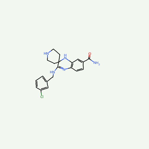 NC(=O)c1ccc2c(c1)NC1(CCNCC1)C(NCc1cccc(Cl)c1)=N2